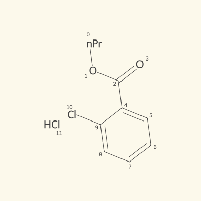 CCCOC(=O)c1ccccc1Cl.Cl